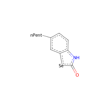 CCCCCc1ccc2[nH]c(=O)[se]c2c1